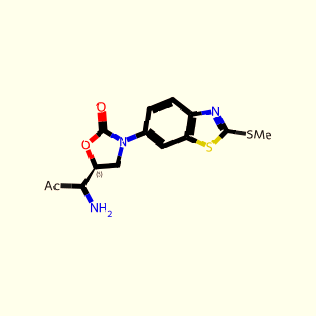 CSc1nc2ccc(N3C[C@@H](C(N)C(C)=O)OC3=O)cc2s1